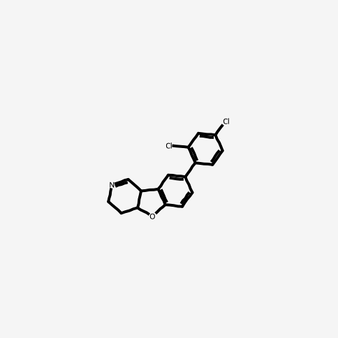 Clc1ccc(-c2ccc3c(c2)C2C=NCCC2O3)c(Cl)c1